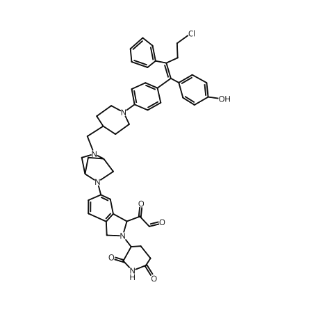 O=CC(=O)C1c2cc(N3CC4CC3CN4CC3CCN(c4ccc(C(=C(CCCl)c5ccccc5)c5ccc(O)cc5)cc4)CC3)ccc2CN1C1CCC(=O)NC1=O